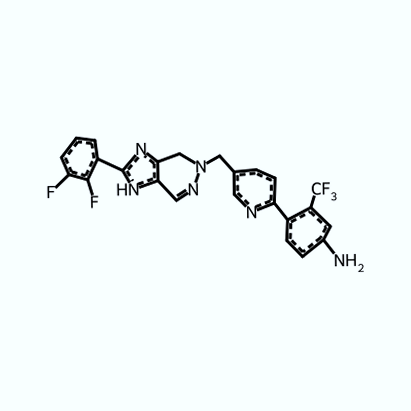 Nc1ccc(-c2ccc(CN3Cc4nc(-c5cccc(F)c5F)[nH]c4C=N3)cn2)c(C(F)(F)F)c1